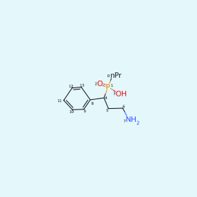 CCCP(=O)(O)C(CCN)c1ccccc1